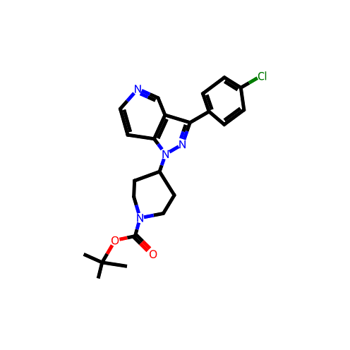 CC(C)(C)OC(=O)N1CCC(n2nc(-c3ccc(Cl)cc3)c3cnccc32)CC1